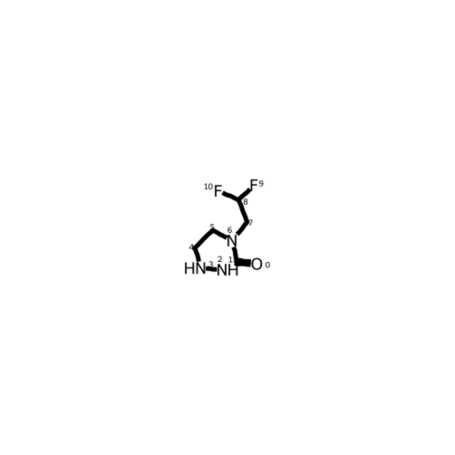 O=C1NNCCN1CC(F)F